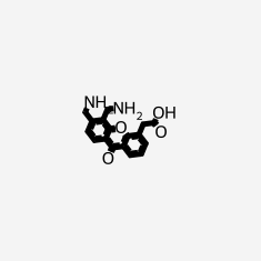 NCc1ccc2c(=O)c3cccc(CC(=O)O)c3oc2c1CN